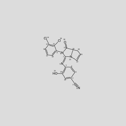 N#Cc1ccc(N=C2N(c3cccc(Cl)c3Cl)C(=O)C3CC=CN23)c(O)c1